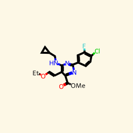 CCOC=Cc1c(NCC2CC2)nc(-c2ccc(Cl)c(F)c2)nc1C(=O)OC